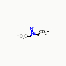 [N-]=[N+](CC(=O)O)CC(=O)O